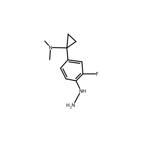 CN(C)C1(c2ccc(NN)c(F)c2)CC1